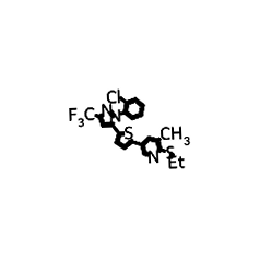 CCSc1ncc(-c2ccc(-c3cc(C(F)(F)F)nn3-c3ccccc3Cl)s2)cc1C